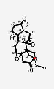 CSCCC12CCC(=O)CC13OC3C[C@H]1[C@@H]3CCC(=O)[C@@]3(C)CC3OC312